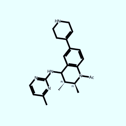 CC(=O)N1c2ccc(C3=CCNCC3)cc2C(Nc2nccc(C)n2)[C@@H](C)[C@@H]1C